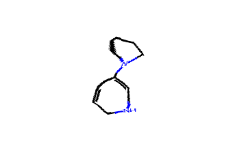 C1=CC(N2CCCC2)=CNC1